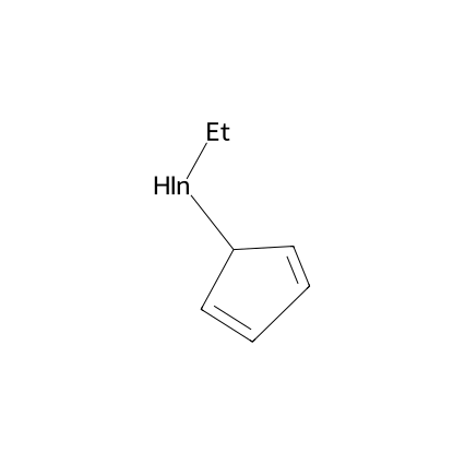 C[CH2][InH][CH]1C=CC=C1